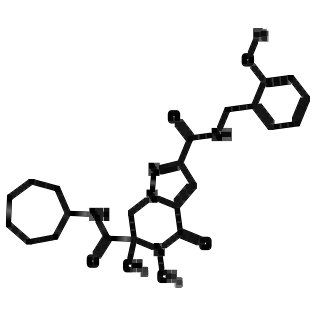 CCOc1ccccc1CNC(=O)c1cc2n(n1)CC(C)(C(=O)NC1CCCCCC1)N(C)C2=O